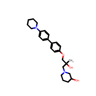 CC(O)(COc1ccc(-c2ccc(N3CCCCC3)cc2)cc1)CN1CCCC(O)C1